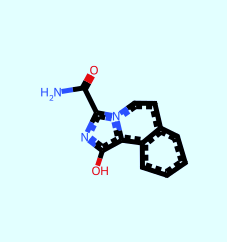 NC(=O)c1nc(O)c2c3ccccc3ccn12